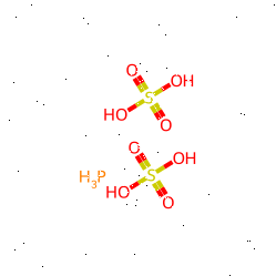 O=S(=O)(O)O.O=S(=O)(O)O.P